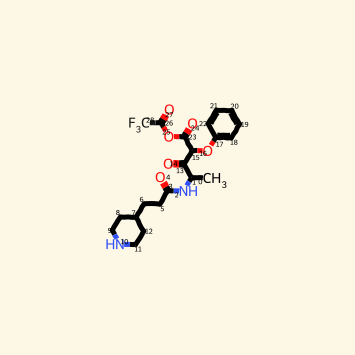 CC(NC(=O)CCC1CCNCC1)C(=O)C(Oc1ccccc1)C(=O)OC(=O)C(F)(F)F